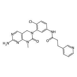 CN1C(=O)N(c2cc(NC(=O)CCc3cccnc3)ccc2Cl)Cc2cnc(N)nc21